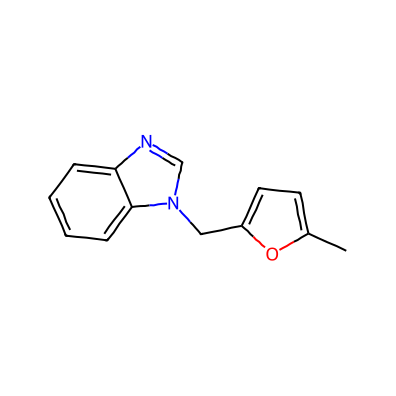 Cc1ccc(Cn2cnc3ccccc32)o1